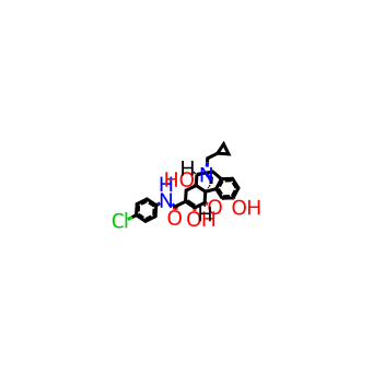 O=C(Nc1ccc(Cl)cc1)C1=C(O)[C@@H]2Oc3c(O)ccc4c3[C@@]23CCN(CC2CC2)[C@H](C4)[C@]3(O)C1